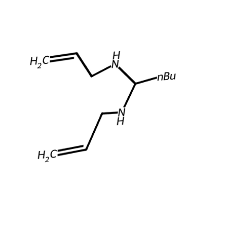 C=CCNC(CCCC)NCC=C